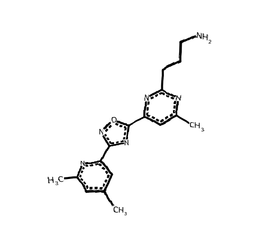 Cc1cc(C)nc(-c2noc(-c3cc(C)nc(CCCN)n3)n2)c1